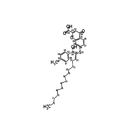 CCCCCCCCCCCCCC=C(Sc1ccc2c(=O)cc(C(=O)O)oc2c1)[C@@H](O)c1ccc(C)cc1